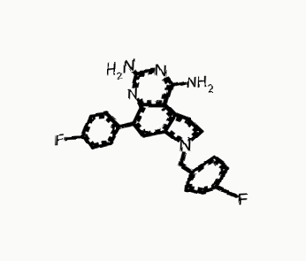 Nc1nc(N)c2c(n1)c(-c1ccc(F)cc1)cc1c2ccn1Cc1ccc(F)cc1